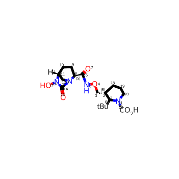 CC(C)(C)C1[C@H](CONC(=O)[C@@H]2CC[C@@H]3CN2C(=O)N3O)CCCN1C(=O)O